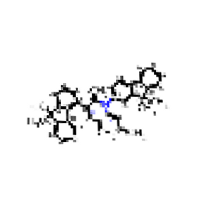 C=C/C=C(\C(=C)N(/C=C/C=C)c1ccc2c(c1)C(C)(C)c1ccccc1-2)c1cccc2c1-c1ccccc1C2(C)C